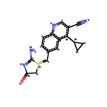 N#Cc1cnc2ccc(/C=S3/CC(=O)N=C3N)cc2c1C1CC1